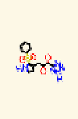 O=C(Cc1cc[nH]c1S(=O)(=O)c1ccccc1)C(=O)c1nn[nH]n1